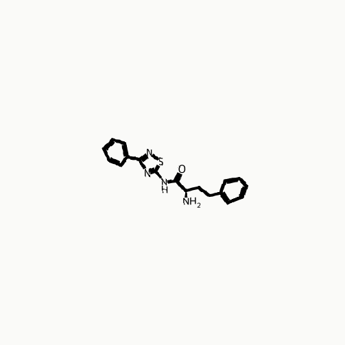 N[C@H](CCc1ccccc1)C(=O)Nc1nc(-c2ccccc2)ns1